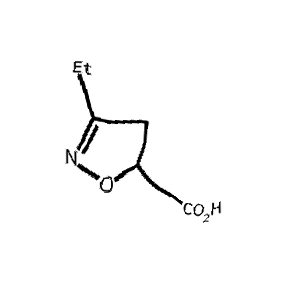 CCC1=NOC(C(=O)O)C1